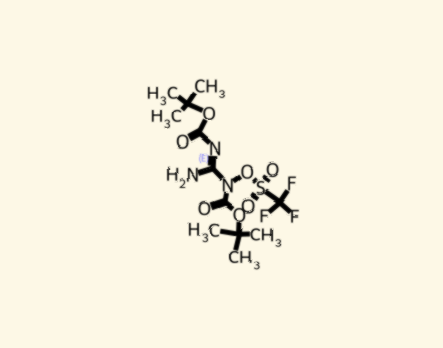 CC(C)(C)OC(=O)/N=C(\N)N(OS(=O)(=O)C(F)(F)F)C(=O)OC(C)(C)C